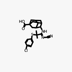 CC(C)(Sc1ccc(Cl)cc1)/C(=N/C#N)NC1C2CC3CC1CC(C(=O)O)(C3)C2